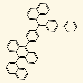 c1cncc(-c2ccc(N(c3ccc(-c4c5ccccc5c(-c5cccc6ccccc56)c5ccccc45)cc3)c3cccc4ccccc34)cc2)c1